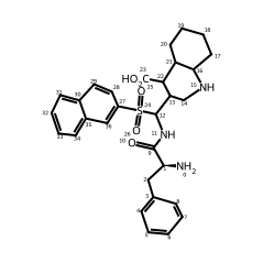 N[C@@H](Cc1ccccc1)C(=O)NC(C1CNC2CCCCC2C1C(=O)O)S(=O)(=O)c1ccc2ccccc2c1